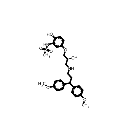 COc1ccc(C(CCNC[C@H](O)COc2ccc(O)c(NS(C)(=O)=O)c2)c2ccc(OC)cc2)cc1